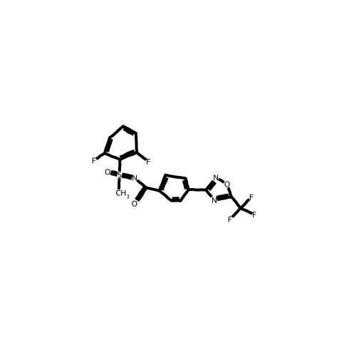 CS(=O)(=NC(=O)c1ccc(-c2noc(C(F)(F)F)n2)cc1)c1c(F)cccc1F